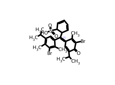 CC1=C(Br)C(=O)C(C(C)C)=C/C1=C(\c1cc(C(C)C)c(C)c(Br)c1C)C1C=CC=CC1S(=O)(=O)O